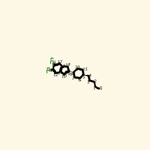 CCCCC[C@H]1CC[C@H](C2=Cc3cc(F)c(F)cc3C2)CC1